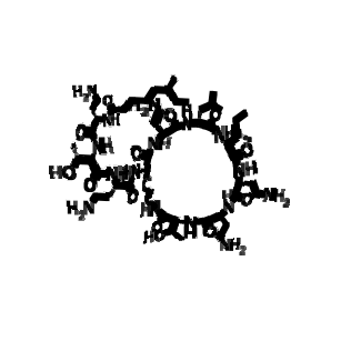 CC[C@H](C)CCCCC(=O)N[C@@H](CCN)C(=O)N[C@H](C(=O)N[C@@H](CCN)C(=O)N[C@H]1CCNC(=O)[C@H]([C@@H](C)O)NC(=O)[C@H](CCN)NC(=O)[C@H](CCN)NC(=O)[C@H]([C@@H](C)CC)NC(=O)[C@@H](CC(C)C)NC(=O)[C@H](CCN)NC1=O)[C@@H](C)O